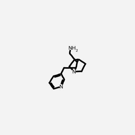 NCC1C2CCN(CC2)C1Cc1cccnc1